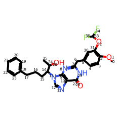 COc1ccc(Cc2nc3c(ncn3C(CCCc3ccccc3)C(C)O)c(=O)[nH]2)cc1OC(F)F